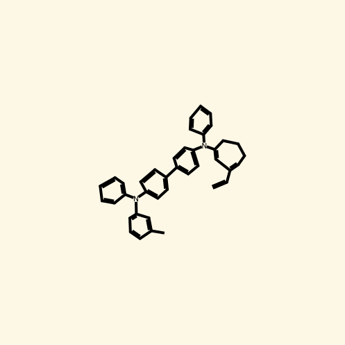 C=CC1=CCCCC(N(c2ccccc2)c2ccc(-c3ccc(N(c4ccccc4)c4cccc(C)c4)cc3)cc2)=C1